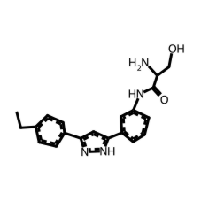 CCc1ccc(-c2cc(-c3cccc(NC(=O)C(N)CO)c3)[nH]n2)cc1